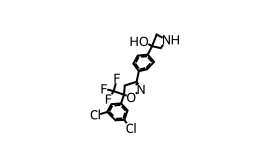 OC1(c2ccc(C3=NOC(c4cc(Cl)cc(Cl)c4)(C(F)(F)F)C3)cc2)CNC1